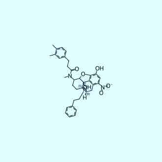 Cc1ccc(CCC(=O)N(C)C2CC[C@@]3(O)[C@H]4Cc5c([N+](=O)[O-])cc(O)c6c5[C@@]3(CCN4CCc3ccccc3)C2O6)cc1C